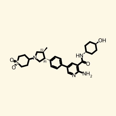 C[C@@H]1CN(C2CCS(=O)(=O)CC2)C[C@H]1c1ccc(-c2cnc(N)c(C(=O)N[C@H]3CC[C@H](O)CC3)c2)cc1